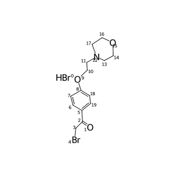 Br.O=C(CBr)c1ccc(OCCN2CCOCC2)cc1